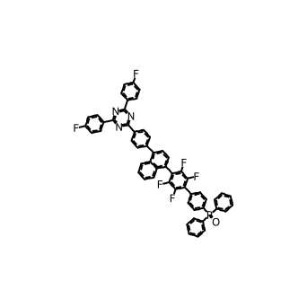 O=P(c1ccccc1)(c1ccccc1)c1ccc(-c2c(F)c(F)c(-c3ccc(-c4ccc(-c5nc(-c6ccc(F)cc6)nc(-c6ccc(F)cc6)n5)cc4)c4ccccc34)c(F)c2F)cc1